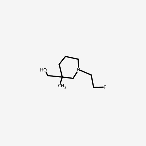 CC1(CO)CCCN(CCF)C1